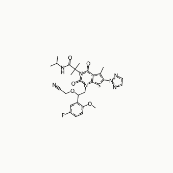 COc1ccc(F)cc1C(Cn1c(=O)n(C(C)(C)C(=O)NC(C)C)c(=O)c2c(C)c(-n3nccn3)sc21)OCC#N